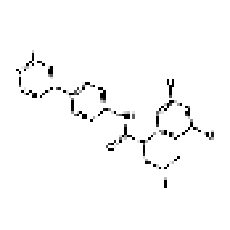 Cc1cc(-c2ccc(NC(=O)C(CC(C)C)c3cc(Cl)cc(Cl)c3)cc2)ccn1